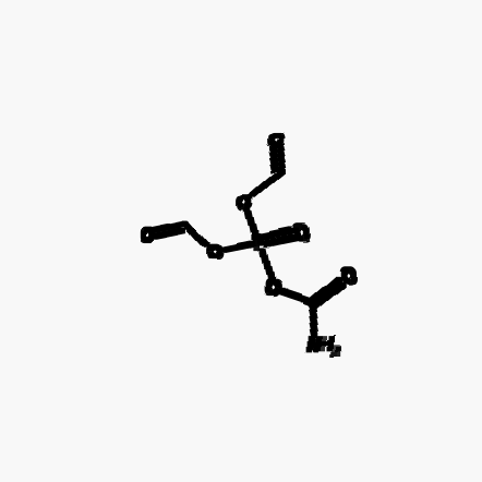 NC(=O)OP(=O)(OC=O)OC=O